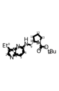 CCc1cnc2ccc(NC[C@@H]3CCCN3C(=O)OC(C)(C)C)nn12